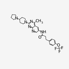 Cc1nc(N2CCC(N3CCCC3)CC2)nc2ncc(NC(=O)CCc3ccc(OC(F)(F)F)cc3)cc12